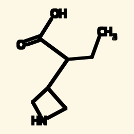 CCC(C(=O)O)C1CNC1